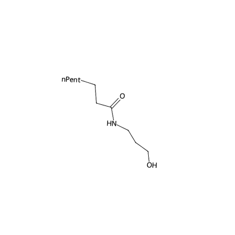 [CH2]CCCCCCC(=O)NCCCO